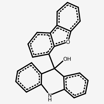 OC1(c2cccc3c2oc2ccccc23)c2ccccc2Nc2ccccc21